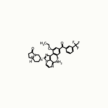 CCOc1cc(C(=O)c2cccc(C(F)(F)F)c2)cc(F)c1-c1nc([C@@H]2CC[C@H]3CCC(=O)N3C2)n2ccnc(N)c12